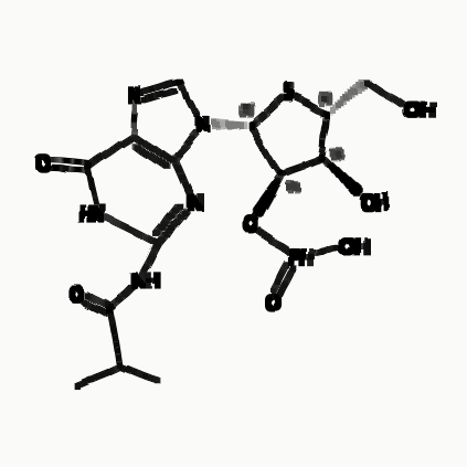 CC(C)C(=O)Nc1nc2c(ncn2[C@@H]2S[C@H](CO)[C@@H](O)[C@H]2O[PH](=O)O)c(=O)[nH]1